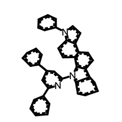 c1ccc(-c2cc(-c3ccccc3)nc(-n3c4ccccc4c4ccc5c6ccn(-c7ccccc7)c6ccc5c43)c2)cc1